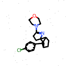 Clc1ccc(C2C3CCC(CC3)C23CCC(N2CCOCC2)=N3)cc1